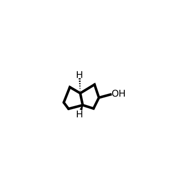 OC1C[C@@H]2CCC[C@H]2C1